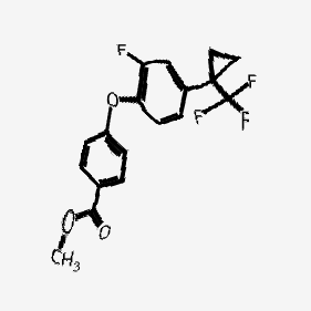 COC(=O)c1ccc(Oc2ccc(C3(C(F)(F)F)CC3)cc2F)cc1